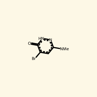 CNc1cc(Br)c(=O)[nH]n1